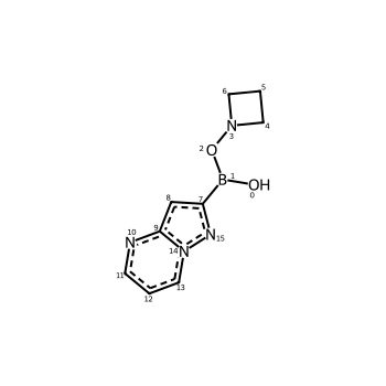 OB(ON1CCC1)c1cc2ncccn2n1